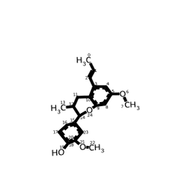 CC=Cc1cc(OC)cc2c1CC(C)C(c1ccc(O)c(OC)c1)O2